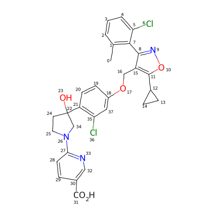 Cc1cccc(Cl)c1-c1noc(C2CC2)c1COc1ccc(C2(O)CCN(c3ccc(C(=O)O)cn3)C2)c(Cl)c1